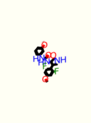 COc1cccc(NC(=O)NC2C(=O)NCC2c2c(F)cc(OC)cc2F)c1